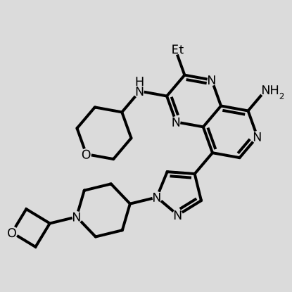 CCc1nc2c(N)ncc(-c3cnn(C4CCN(C5COC5)CC4)c3)c2nc1NC1CCOCC1